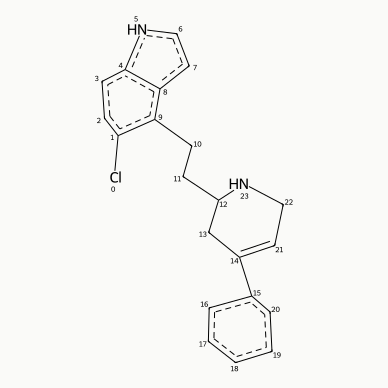 Clc1ccc2[nH]ccc2c1CCC1CC(c2ccccc2)=CCN1